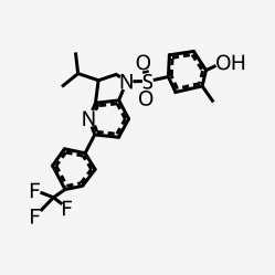 Cc1cc(S(=O)(=O)N2CC(C(C)C)c3nc(-c4ccc(C(F)(F)F)cc4)ccc32)ccc1O